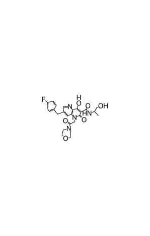 CC(CO)NC(=O)c1c(O)c2ncc(Cc3ccc(F)cc3)cc2n(CC(=O)N2CCOCC2)c1=O